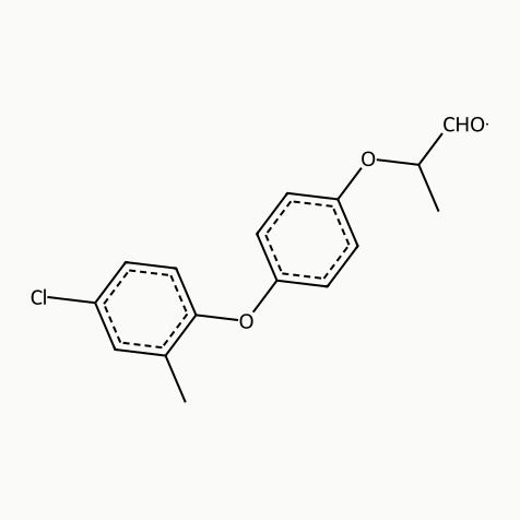 Cc1cc(Cl)ccc1Oc1ccc(OC(C)[C]=O)cc1